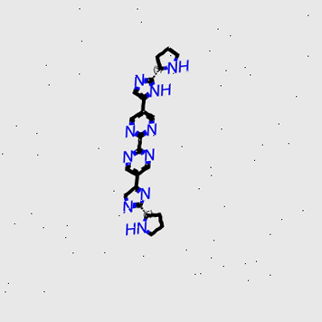 c1nc(-c2ncc(-c3cnc([C@@H]4CCCN4)[nH]3)cn2)ncc1C1=NC([C@@H]2CCCN2)=NC1